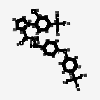 O=C(NNc1ccc(Oc2ccc(C(F)(F)F)cc2)cc1)c1cccn1-c1ncc(C(F)(F)F)cc1Cl